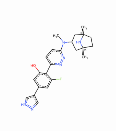 CN(c1ccc(-c2c(O)cc(-c3cn[nH]c3)cc2F)nn1)C1C[C@]2(C)CC[C@](C)(C1)N2